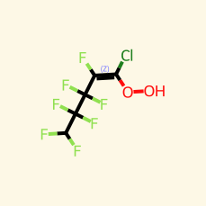 OO/C(Cl)=C(/F)C(F)(F)C(F)(F)C(F)F